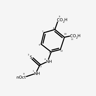 CCCCCCCCNC(=S)Nc1ccc(C(=O)O)c(C(=O)O)c1